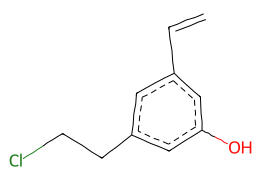 C=Cc1cc(O)cc(CCCl)c1